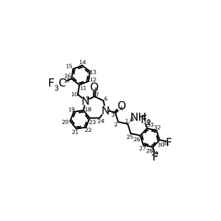 N[C@@H](CC(=O)N1CC(=O)N(Cc2ccccc2C(F)(F)F)c2ccccc2C1)Cc1cc(F)c(F)cc1F